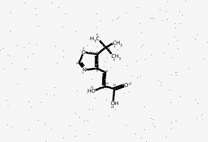 CC(C)(C)c1ocnc1C=C(O)C(=O)O